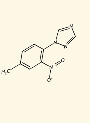 Cc1ccc(-n2cncn2)c([N+](=O)[O-])c1